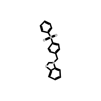 O=S(=O)(c1ccccc1)c1ccc(CN2CSc3ccccc32)cc1